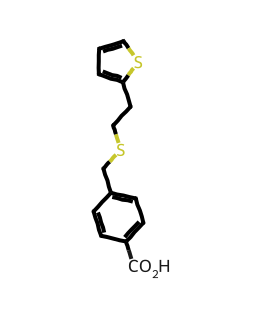 O=C(O)c1ccc(CSCCc2cccs2)cc1